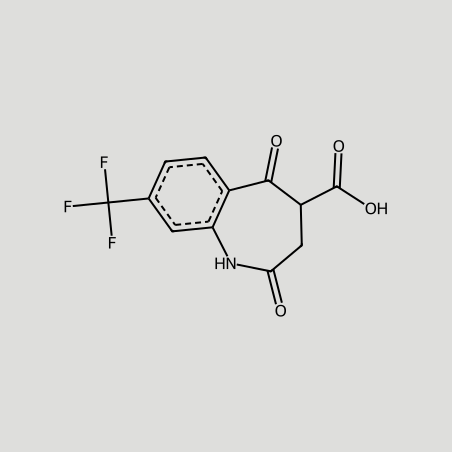 O=C1CC(C(=O)O)C(=O)c2ccc(C(F)(F)F)cc2N1